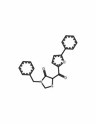 O=C(c1ccc(-c2ccccc2)o1)C1SCN(Cc2ccccc2)C1=O